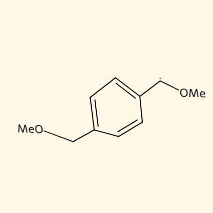 CO[CH]c1ccc(COC)cc1